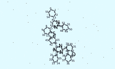 c1ccc(-c2cc(-c3cccc4c3sc3cc(-c5nc(-c6ccccc6)nc(-c6cccc7oc8ccccc8c67)n5)ccc34)nc(-c3ccccc3)n2)cc1